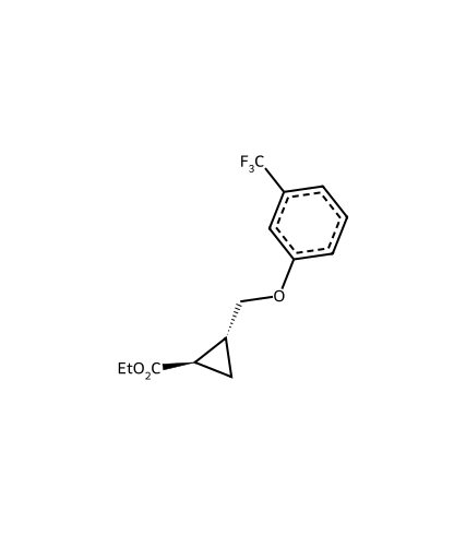 CCOC(=O)[C@@H]1C[C@H]1COc1cccc(C(F)(F)F)c1